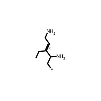 CC/C(=C\CN)C(N)CF